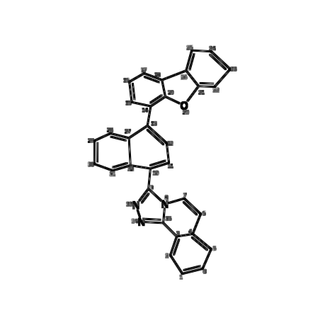 c1ccc2c(c1)ccn1c(-c3ccc(-c4cccc5c4oc4ccccc45)c4ccccc34)nnc21